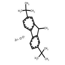 CC1c2cc(C(C)(C)C)ccc2-c2ccc(C(C)(C)C)cc21.[Cl-].[Cl-].[Zr+2]